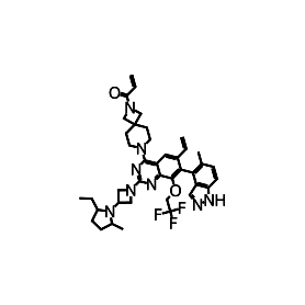 C=CC(=O)N1CC2(CCN(c3nc(N4CC(N5C(C)CCC5CC)C4)nc4c(OCC(F)(F)F)c(-c5c(C)ccc6[nH]ncc56)c(C=C)cc34)CC2)C1